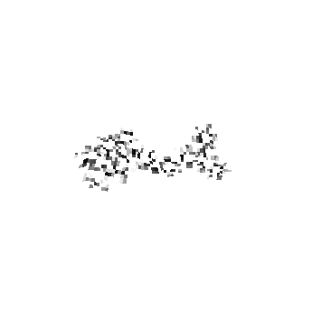 c1ccc(N(c2ccc3c(c2)sc2ccc(-c4ccc5c(c4)c4cc6ccccc6cc4n5-c4ccccc4)cc23)c2cccc3c2-c2ccccc2C3(c2ccccc2)c2ccccc2)cc1